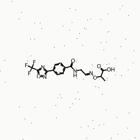 CC(ON=CCNC(=O)c1ccc(-c2noc(C(F)(F)F)n2)cc1)C(=O)O